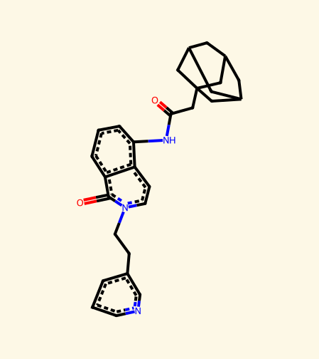 O=C(CC12CC3CC(CC(C3)C1)C2)Nc1cccc2c(=O)n(CCc3cccnc3)ccc12